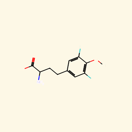 COc1c(F)cc(CCC(N)C(=O)O)cc1F